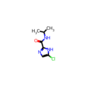 CC(C)NC(=O)c1ncc(Cl)[nH]1